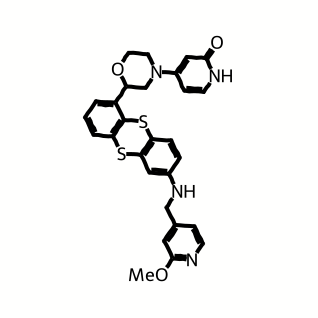 COc1cc(CNc2ccc3c(c2)Sc2cccc(C4CN(c5cc[nH]c(=O)c5)CCO4)c2S3)ccn1